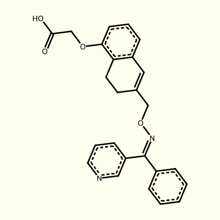 O=C(O)COc1cccc2c1CCC(CO/N=C(/c1ccccc1)c1cccnc1)=C2